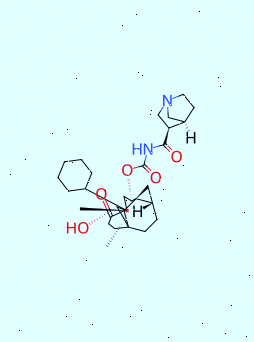 C[C@H]1[C@H](O)[C@](C)(C2CCCCC2)C[C@@H](OC(=O)NC(=O)[C@H]2CN3CC[C@@H]2C3)[C@]23C[C@@H]2CCC12CCC(=O)C23